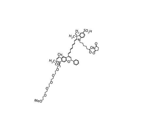 COCCOCCOCCOCCOCCOCCN1c2cc3c(cc2C(C)=CC1(C)C)C(/C=C/C=C/C=C/C=C1\N(CCCCCC(=O)ON2C(=O)CCC2=O)c2ccc(S(=O)(=O)O)cc2C1(C)C)=CC(c1ccccc1)O3